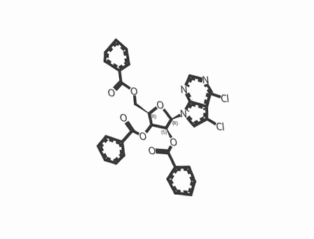 O=C(OC[C@H]1O[C@@H](n2cc(Cl)c3c(Cl)ncnc32)[C@@H](OC(=O)c2ccccc2)C1OC(=O)c1ccccc1)c1ccccc1